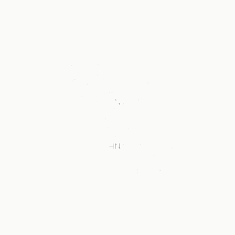 c1ccc(N(c2ccc(Nc3ccc4ccccc4c3)cc2)c2ccc3ccccc3c2)cc1